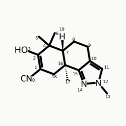 [C-]#[N+]C1=C(O)C(C)(C)[C@@H]2CCc3cn(C)nc3[C@@]2(C)C1